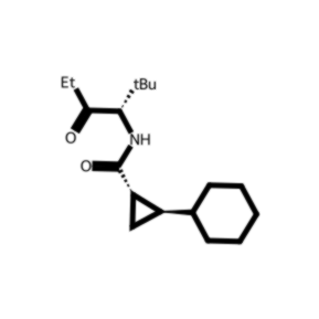 CCC(=O)[C@@H](NC(=O)[C@H]1C[C@@H]1C1CCCCC1)C(C)(C)C